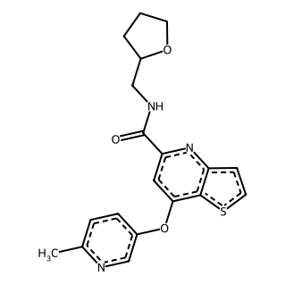 Cc1ccc(Oc2cc(C(=O)NCC3CCCO3)nc3ccsc23)cn1